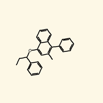 CCC(Oc1cc(C)c(-c2ccccc2)c2ccccc12)c1ccccc1